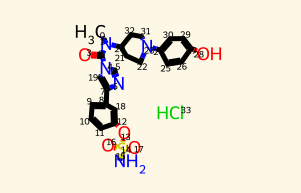 CN(C(=O)n1cnc(-c2cccc(OS(N)(=O)=O)c2)c1)C1CCN(c2ccc(O)cc2)CC1.Cl